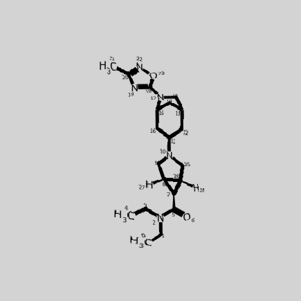 CCN(CC)C(=O)[C@H]1[C@@H]2CN(C3CC4CC(C3)N(c3nc(C)no3)C4)C[C@@H]21